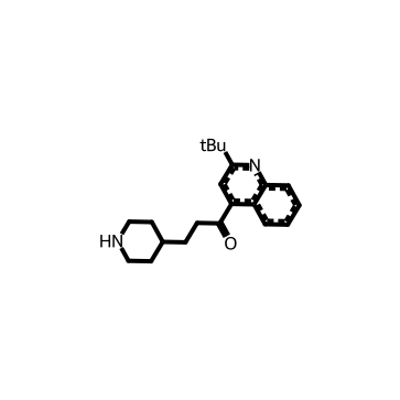 CC(C)(C)c1cc(C(=O)CCC2CCNCC2)c2ccccc2n1